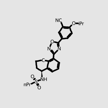 CCCS(=O)(=O)N[C@H]1CCCc2c(-c3noc(-c4ccc(OC(C)C)c(C#N)c4)n3)cccc21